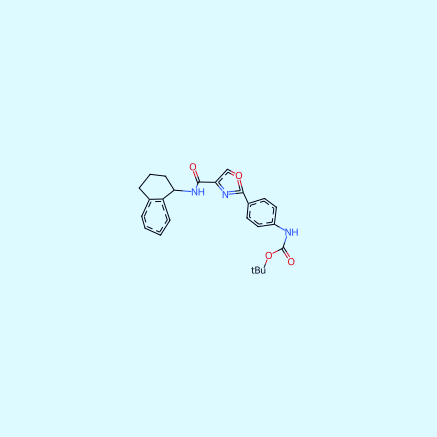 CC(C)(C)OC(=O)Nc1ccc(-c2nc(C(=O)NC3CCCc4ccccc43)co2)cc1